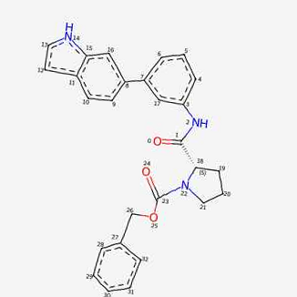 O=C(Nc1cccc(-c2ccc3cc[nH]c3c2)c1)[C@@H]1CCCN1C(=O)OCc1ccccc1